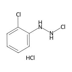 Cl.ClNNc1ccccc1Cl